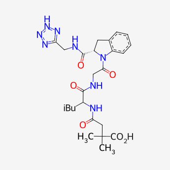 CCC(C)C(NC(=O)CC(C)(C)C(=O)O)C(=O)NCC(=O)N1c2ccccc2C[C@H]1C(=O)NCc1nn[nH]n1